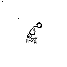 CC(C)S(C(C)C)(C(C)C)n1ccc2c1CCN(Cc1ccccc1)C2